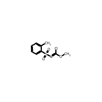 COC(Cl)=NS(=O)(=O)c1ccccc1C